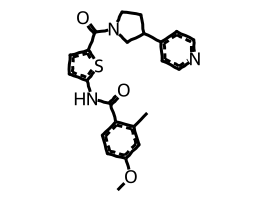 COc1ccc(C(=O)Nc2ccc(C(=O)N3CCC(c4ccncc4)C3)s2)c(C)c1